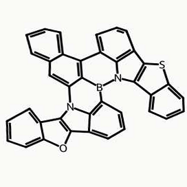 c1ccc2c3c4c(cc2c1)-n1c2c(cccc2c2oc5ccccc5c21)B4n1c2c-3cccc2c2sc3ccccc3c21